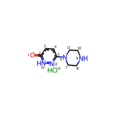 Cl.O=c1ccc(N2CCNCC2)n[nH]1